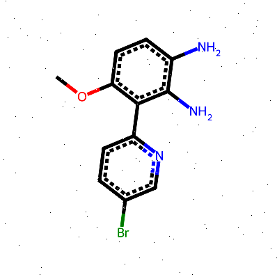 COc1ccc(N)c(N)c1-c1ccc(Br)cn1